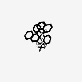 O=P(C1CCCCC1)(C1CCCCC1)C1(OS(=O)(=O)C(F)(F)F)C=CC2=C(CCCC2)C1c1cccc2c1CCCC2